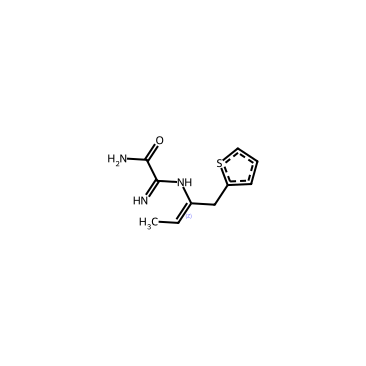 C/C=C(/Cc1cccs1)NC(=N)C(N)=O